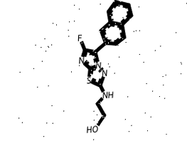 OCCNc1nn2c(-c3ccc4ccccc4c3)c(F)nc2s1